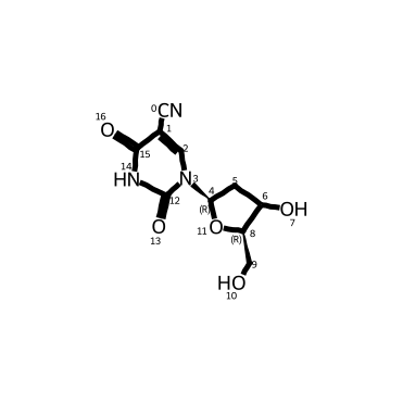 N#Cc1cn([C@H]2CC(O)[C@@H](CO)O2)c(=O)[nH]c1=O